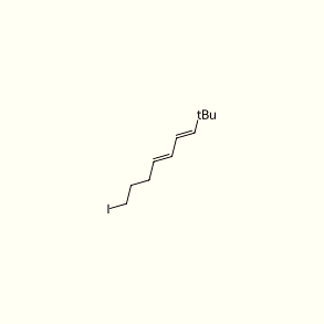 CC(C)(C)C=CC=CCCCI